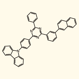 c1ccc(-c2nc(-c3ccc(-n4c5ccccc5c5ccccc54)cc3)nc(-c3cccc(-c4ccc5ccccc5c4)c3)n2)cc1